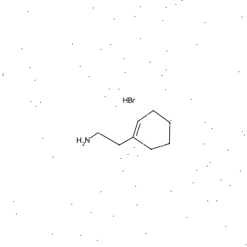 Br.NCCC1=CCCCC1